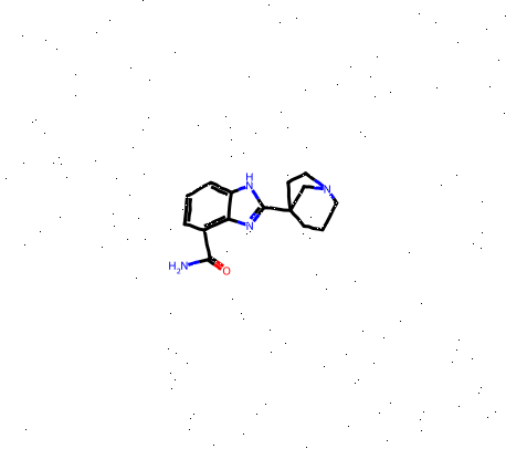 NC(=O)c1cccc2[nH]c(C34CCCN(CC3)C4)nc12